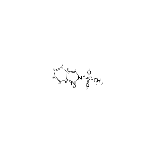 CS(=O)(=O)n1cc2ccccc2n1